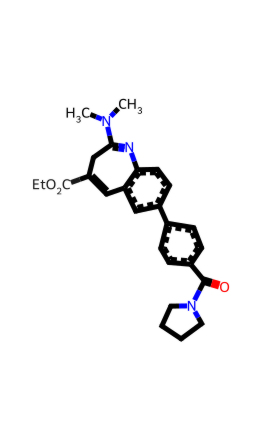 CCOC(=O)C1=Cc2cc(-c3ccc(C(=O)N4CCCC4)cc3)ccc2N=C(N(C)C)C1